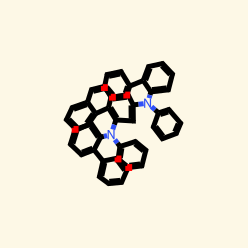 c1ccc(-c2ccccc2N(c2ccccc2)c2cc(N(c3ccccc3)c3ccccc3-c3ccccc3)c3c(ccc4ccccc43)c2)cc1